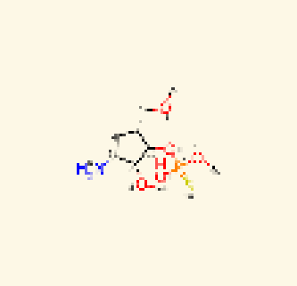 COC[C@H]1C[C@@H](N)[C@@H](OC)C1OP(O)(=S)OC